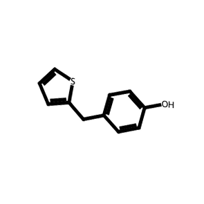 Oc1ccc(Cc2cccs2)cc1